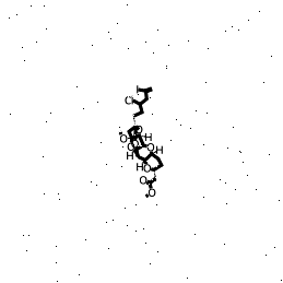 C=C(I)CC(Cl)CC[C@@]12C[C@]3(OC)O[C@H]4C(O1)[C@H]1O[C@@H](CC(=O)OC)CC[C@@H]1OC4[C@@H]3O2